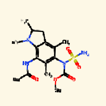 CCCN1c2c(c(C)c(N(C(=O)OC(C)(C)C)S(N)(=O)=O)c(C)c2NC(=O)C(C)(C)C)CC1C